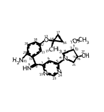 CO[C@H]1CN(c2cc(C(=N)c3cc(OC4(C)CC4)ccc3N)ncn2)C[C@@H]1O